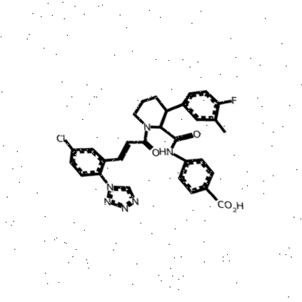 Cc1cc(C2CCCN(C(=O)C=Cc3cc(Cl)ccc3-n3cnnn3)C2C(=O)Nc2ccc(C(=O)O)cc2)ccc1F